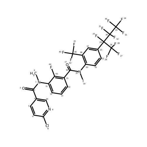 CN(C(=O)c1ccc(Cl)nc1)c1cccc(C(=O)N(I)c2ccc(C(F)(C(F)(F)F)C(F)(F)C(F)(F)F)cc2C(F)(F)F)c1F